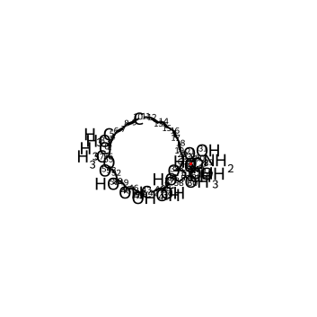 C[C@@H]1[C@H](O)[C@@H](C)/C=C/C=C\CC/C=C/C=C/C=C/C=C/[C@H](O[C@@H]2O[C@H](C)[C@@H](O)[C@H](N)[C@@H]2O)C[C@@H]2O[C@](O)(C[C@@H](O)[C@H](O)CC[C@@H](O)C[C@@H](O)C[C@@H](O)CC(=O)O[C@H]1C)C[C@H](O)[C@H]2C(=O)O